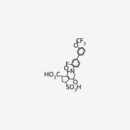 O=C1CN(c2ccc(-c3cccc(OC(F)(F)F)c3)cc2F)C(=O)C2=C1C(S(=O)(=O)O)CC2C(=O)O